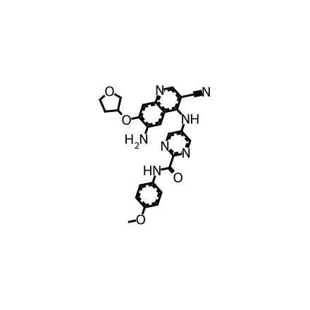 COc1ccc(NC(=O)c2ncc(Nc3c(C#N)cnc4cc(OC5CCOC5)c(N)cc34)cn2)cc1